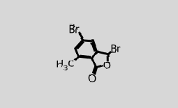 Cc1cc(Br)cc2c1C(=O)OC2Br